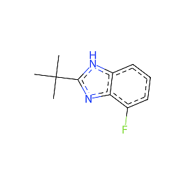 CC(C)(C)c1nc2c(F)cccc2[nH]1